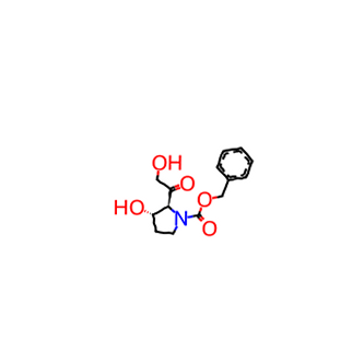 O=C(CO)[C@@H]1[C@@H](O)CCN1C(=O)OCc1ccccc1